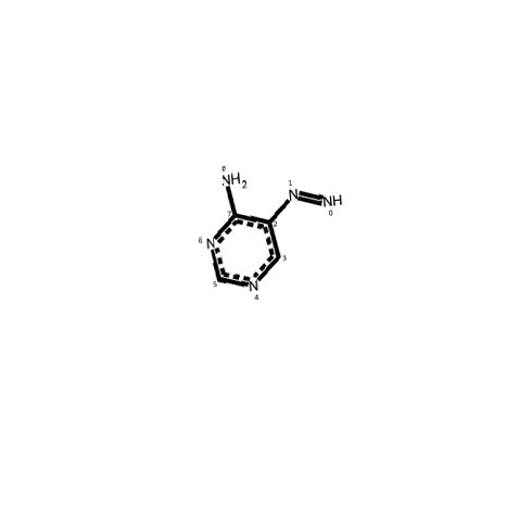 N=Nc1cncnc1N